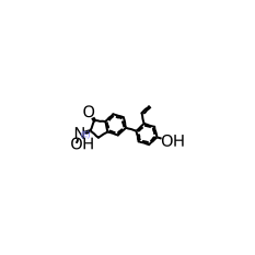 C=Cc1cc(O)ccc1-c1ccc2c(c1)C/C(=N\O)C2=O